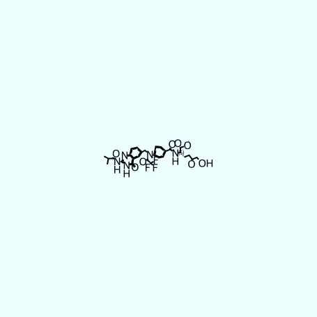 COC(=O)[C@H](CCC(=O)CO)NC(=O)c1ccc(N(Cc2ccc3nc(NC(=O)C(C)C)[nH]c(=O)c3c2)C(=O)C(F)(F)F)cc1